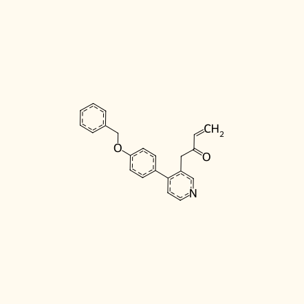 C=CC(=O)Cc1cnccc1-c1ccc(OCc2ccccc2)cc1